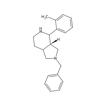 Cc1ccccc1C1NCCC2CN(Cc3ccccc3)C[C@H]21